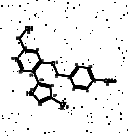 COc1ccc(COc2cc(CO)ncc2-c2cc(C(F)(F)F)c[nH]2)cc1